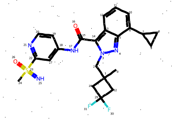 CC1(Cn2nc3c(C4CC4)cccc3c2C(=O)Nc2ccnc(S(C)(=N)=O)c2)CC(F)(F)C1